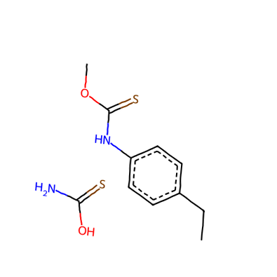 CCc1ccc(NC(=S)OC)cc1.NC(O)=S